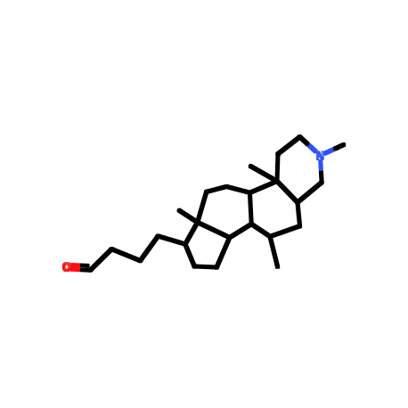 CC1CC2CN(C)CCC2(C)C2CCC3(C)C(CCCC=O)CCC3C12